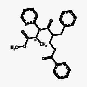 COC(=O)[C@H](C)N(C(=O)C(CSC(=O)c1ccccc1)Cc1ccccc1)c1ccccn1